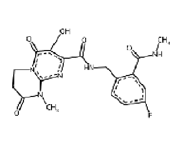 CNC(=O)c1cc(F)ccc1CNC(=O)c1nc2n(c(=O)c1O)CCC(=O)N2C